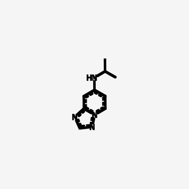 CC(C)Nc1ccn2ncnc2c1